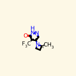 C[C@H]1CCN1c1cn[nH]c(=O)c1C(F)(F)F